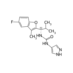 Cc1c([C@@H](NC(=O)Nc2cn[nH]c2)C(C)C)oc2ccc(F)cc12